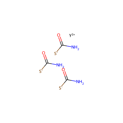 NC(=O)[S-].NC(=O)[S-].NC(=O)[S-].[Y+3]